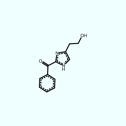 O=C(c1ccccc1)c1nc(CCO)c[nH]1